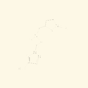 CC(C)(C)c1cnn(C2CN(CC3CCN(C(C)(C)C)C3)C2)c1